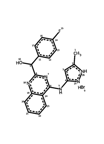 Br.Cc1cc(Nc2nc(C(O)c3ccc(F)cc3)nc3ccccc23)n[nH]1